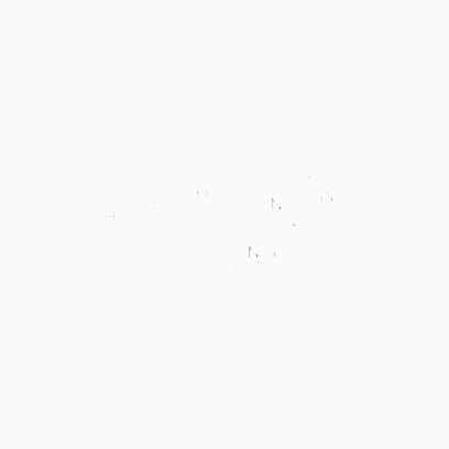 CCOC(=O)c1ccn(C)c1CN1CCOCC1